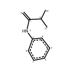 C=C(Nc1ccccc1)C(C)C